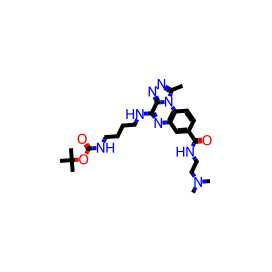 Cc1nnc2c(NCCCCNC(=O)OC(C)(C)C)nc3cc(C(=O)NCCN(C)C)ccc3n12